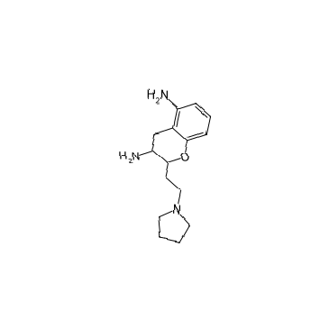 Nc1cccc2c1CC(N)C(CCN1CCCC1)O2